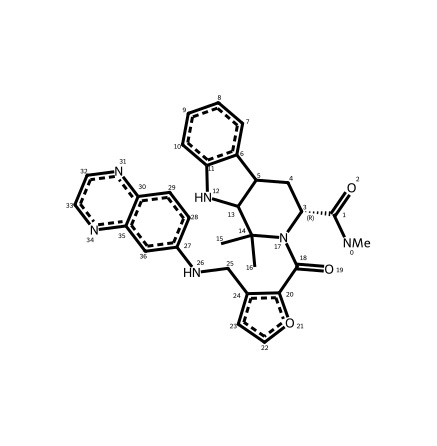 CNC(=O)[C@H]1CC2c3ccccc3NC2C(C)(C)N1C(=O)c1occc1CNc1ccc2nccnc2c1